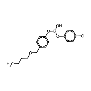 CCCCOCc1ccc(OB(O)Oc2ccc(Cl)cc2)cc1